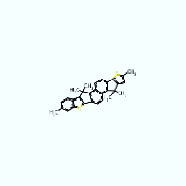 Cc1ccc2c3c(sc2c1)-c1ccc2c4c(ccc2c1C3(C)C)-c1sc(C)cc1C4(C)C